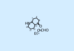 CCOC=O.O=C1CCCC2NCCCC12